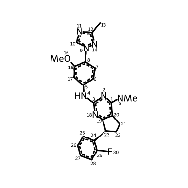 CNc1nc(Nc2ccc(-n3cnc(C)n3)c(OC)c2)nc2c1CC[C@H]2c1ccccc1F